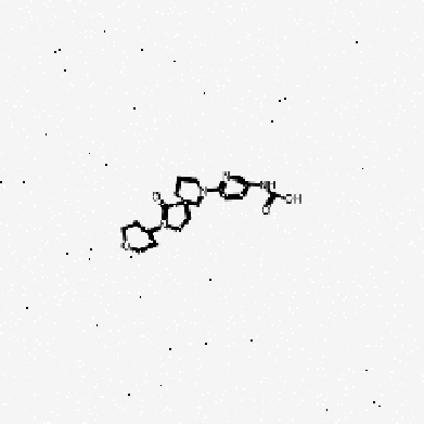 O=C(O)Nc1ccc(N2CCC[C@]3(CCN(C4CCOCC4)C3=O)C2)nc1